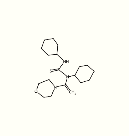 C=C(N1CCOCC1)N(C(=S)NC1CCCCC1)C1CCCCC1